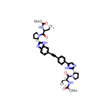 COC(=O)NC(CC(F)(F)F)C(=O)N1CCC[C@H]1c1nc2ccc(C#Cc3ccc(-c4cnc([C@@H]5CCCN5C(=O)[C@H](CC(F)(F)F)NC(=O)OC)[nH]4)cc3)cc2[nH]1